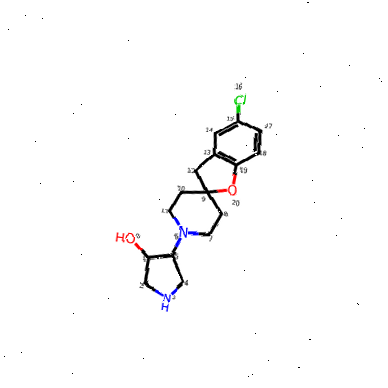 OC1CNCC1N1CCC2(CC1)Cc1cc(Cl)ccc1O2